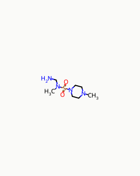 CN1CCN(S(=O)(=O)N(C)CN)CC1